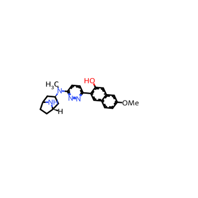 COc1ccc2cc(-c3ccc(N(C)[C@@H]4CC5CC[C@@H](C4)N5)nn3)c(O)cc2c1